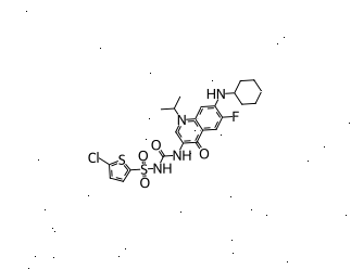 CC(C)n1cc(NC(=O)NS(=O)(=O)c2ccc(Cl)s2)c(=O)c2cc(F)c(NC3CCCCC3)cc21